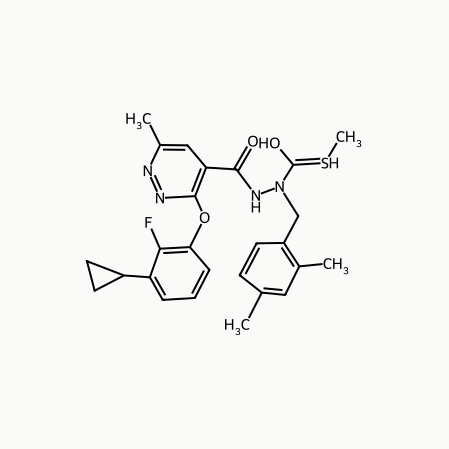 C[SH]=C(O)N(Cc1ccc(C)cc1C)NC(=O)c1cc(C)nnc1Oc1cccc(C2CC2)c1F